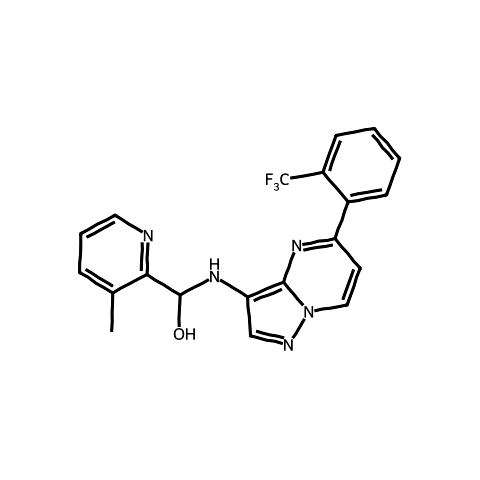 Cc1cccnc1C(O)Nc1cnn2ccc(-c3ccccc3C(F)(F)F)nc12